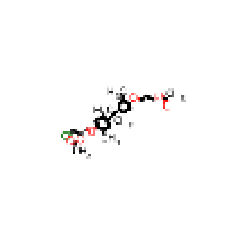 CC(=O)OCCCOc1ccc(C(C)(C)c2ccc(OC[C@@H](CCl)OC(C)=O)c(C)c2)cc1C